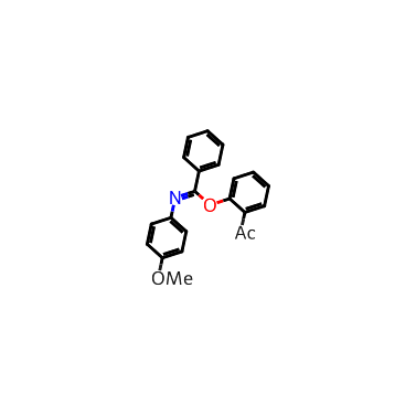 COc1ccc(N=C(Oc2ccccc2C(C)=O)c2ccccc2)cc1